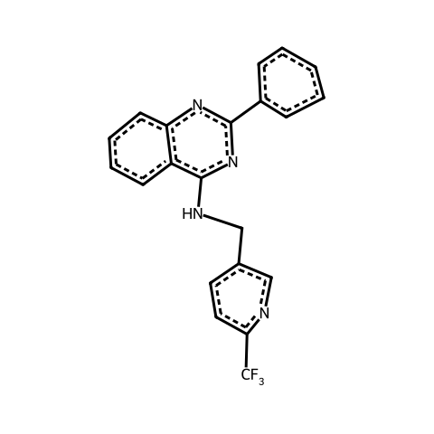 FC(F)(F)c1ccc(CNc2nc(-c3ccccc3)nc3ccccc23)cn1